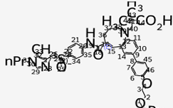 CCCCOCCOc1ccc(-c2ccc3c(c2)/C=C(/C(=O)Nc2ccc([S@@+]([O-])Cc4ncn(CCC)c4C)cc2)CCCN3CC(C)(C)C(=O)O)cc1